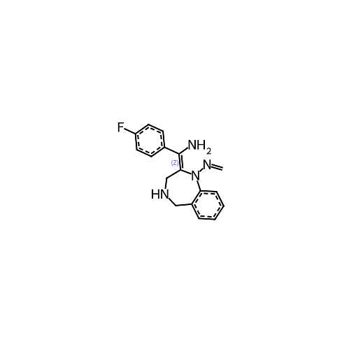 C=NN1/C(=C(\N)c2ccc(F)cc2)CNCc2ccccc21